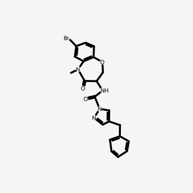 CN1C(=O)C(NC(=O)n2cc(Cc3ccccc3)cn2)COc2ccc(Br)cc21